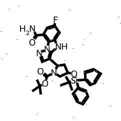 CC(C)(C)OC(=O)N1CC(O[Si](c2ccccc2)(c2ccccc2)C(C)(C)C)CC1c1cnn2c1[nH]c1cc(F)cc(C(N)=O)c12